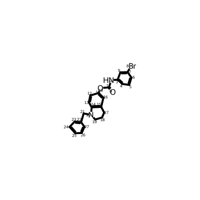 O=C(Nc1cccc(Br)c1)Oc1ccc2c(c1)CCCN2Cc1ccccc1